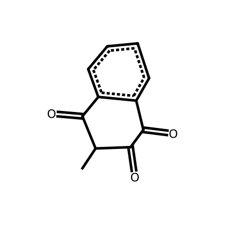 CC1C(=O)C(=O)c2ccccc2C1=O